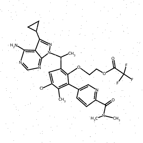 Cc1c(Cl)cc(C(C)n2nc(C3CC3)c3c(N)ncnc32)c(OCCOC(=O)C(F)(F)F)c1-c1ccc(C(=O)N(C)C)nc1